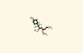 C=C/C=C(\C=C(/C)C(F)(F)c1ccc(Br)cc1)OC